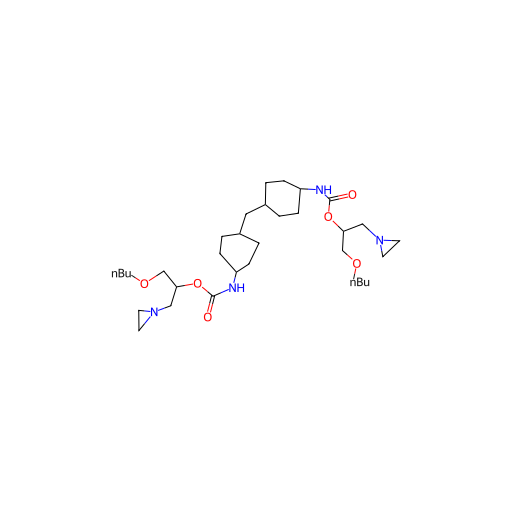 CCCCOCC(CN1CC1)OC(=O)NC1CCC(CC2CCC(NC(=O)OC(COCCCC)CN3CC3)CC2)CC1